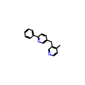 Cc1ccncc1Cc1ccc(-c2ccccc2)nc1